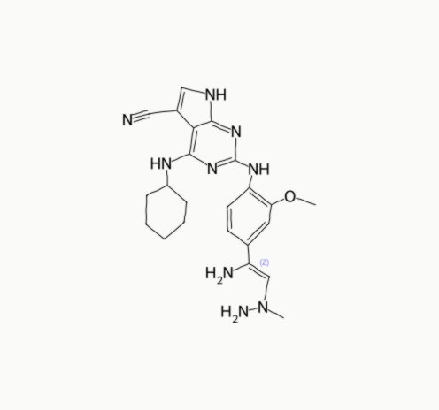 COc1cc(/C(N)=C/N(C)N)ccc1Nc1nc(NC2CCCCC2)c2c(C#N)c[nH]c2n1